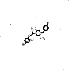 C[C@@H]1CN(Cc2ccc(F)cc2)[C@@H](C)CN1C(=O)COc1ccc(Br)cc1Cl